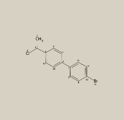 CC(Cl)c1ccc(-c2ccc(Br)cc2)cc1